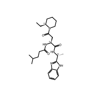 CC[C@H]1CCCCN1C(=O)C[C@H](NC(=O)CCC(C)C)C(=O)N[C@H](C)c1nc2ccccc2[nH]1